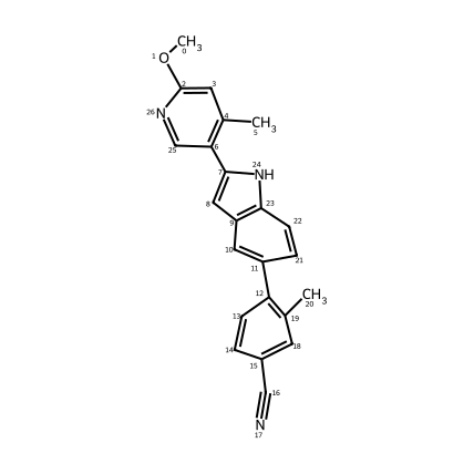 COc1cc(C)c(-c2cc3cc(-c4ccc(C#N)cc4C)ccc3[nH]2)cn1